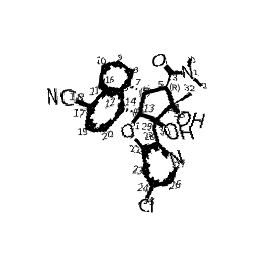 CN(C)C(=O)[C@@H]1[C@@H](c2ccccc2)[C@]2(c3ccc(C#N)cc3)Oc3cc(Cl)cnc3C2(O)[C@@]1(C)O